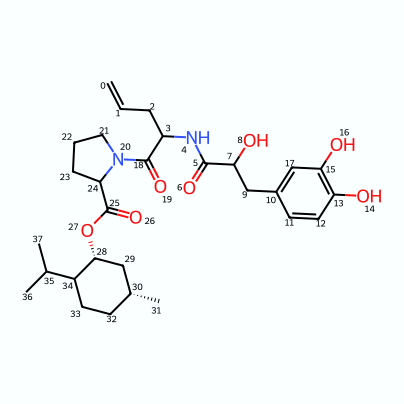 C=CCC(NC(=O)C(O)Cc1ccc(O)c(O)c1)C(=O)N1CCCC1C(=O)O[C@@H]1C[C@H](C)CCC1C(C)C